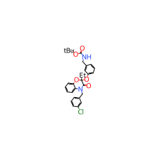 CCC1(Oc2cccc(CNC(=O)OC(C)(C)C)c2)Oc2ccccc2N(Cc2cccc(Cl)c2)C1=O